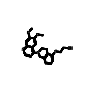 COc1cc2ncnc(N3CCc4c(cccc4OCCO)C3)c2cc1OC